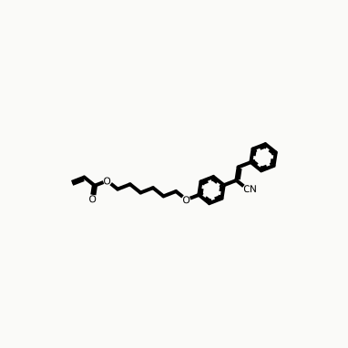 C=CC(=O)OCCCCCCOc1ccc(C(C#N)=Cc2ccccc2)cc1